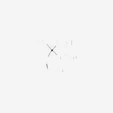 CCCCCCOC(CCC)(CCCCC)C(=O)O